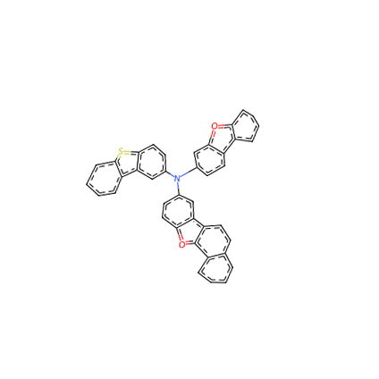 c1ccc2c(c1)ccc1c3cc(N(c4ccc5c(c4)oc4ccccc45)c4ccc5sc6ccccc6c5c4)ccc3oc21